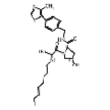 Cc1ncsc1-c1ccc(CNC(=O)[C@@H]2C[C@@H](O)CN2C(=O)C(NCCCCCCCI)C(C)(C)C)cc1